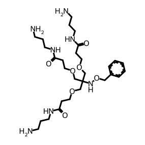 NCCCNC(=O)CCOCC(COCCC(=O)NCCCN)(COCCC(=O)NCCCN)NOCc1ccccc1